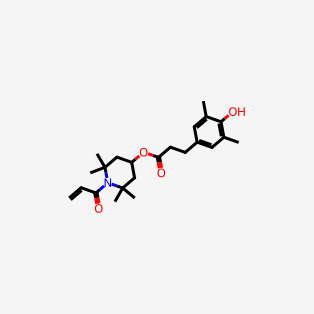 C=CC(=O)N1C(C)(C)CC(OC(=O)CCc2cc(C)c(O)c(C)c2)CC1(C)C